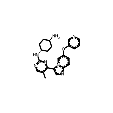 Cc1cnc(N[C@H]2CC[C@H](N)CC2)nc1-c1cnc2ccc(Oc3cccnc3)cn12